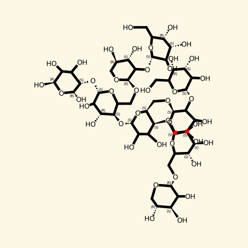 OCC1O[C@@H](OC2C(O)[C@@H](O)CO[C@H]2OC[C@@H]2O[C@@H](O[C@@H]3C(CO[C@H]4OC[C@@H](O)[C@H](O)C4O[C@@H]4OC(CO)[C@H](O)[C@H](O)C4O)O[C@@H](O[C@H]4C(O)C(O)[C@H](O)O[C@H]4O)C(O)[C@H]3O)C(O)C(O)[C@@H]2O[C@@H]2OC(CO[C@H]3OC[C@@H](O)[C@H](O)C3O)[C@@H](O)[C@H](O)C2O)C(O)[C@@H](O)[C@H]1O